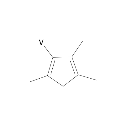 CC1=C(C)[C]([V])=C(C)C1